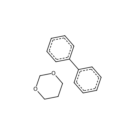 C1COCOC1.c1ccc(-c2ccccc2)cc1